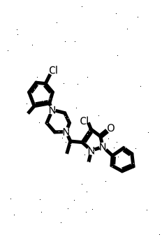 Cc1ccc(Cl)cc1N1CCN(C(C)c2c(Cl)c(=O)n(-c3ccccc3)n2C)CC1